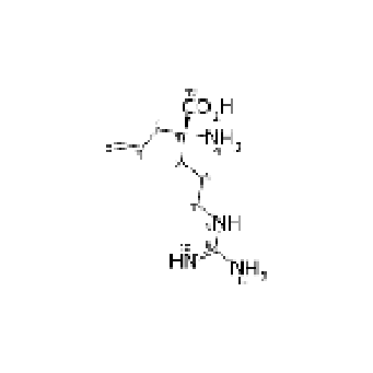 C=CC[C@](N)(CCCNC(=N)N)C(=O)O